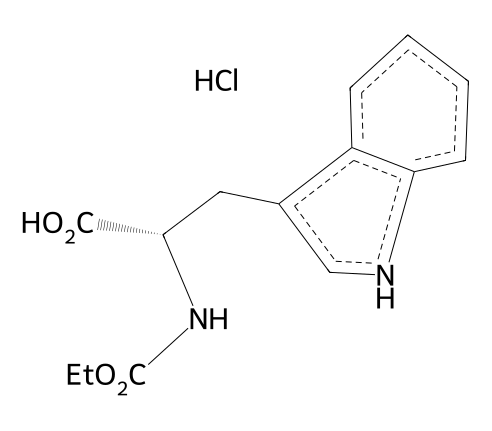 CCOC(=O)N[C@@H](Cc1c[nH]c2ccccc12)C(=O)O.Cl